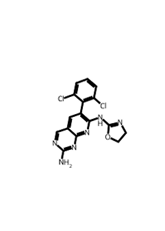 Nc1ncc2cc(-c3c(Cl)cccc3Cl)c(NC3=NCCO3)nc2n1